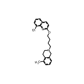 CCc1cccc2ccc(OCCCCN3CCc4c(C)cccc4C3)nc12